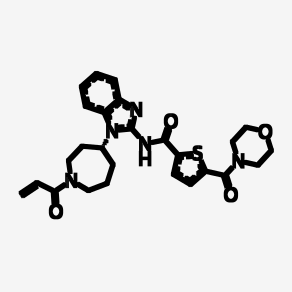 C=CC(=O)N1CCC[C@@H](n2c(NC(=O)c3ccc(C(=O)N4CCOCC4)s3)nc3ccccc32)CC1